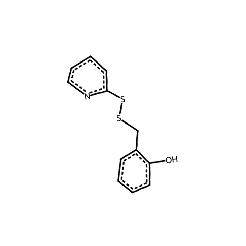 Oc1ccccc1CSSc1ccccn1